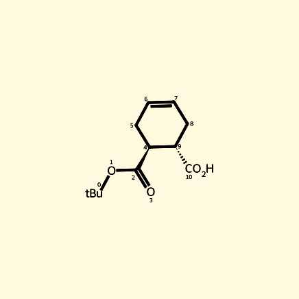 CC(C)(C)OC(=O)[C@H]1CC=CC[C@@H]1C(=O)O